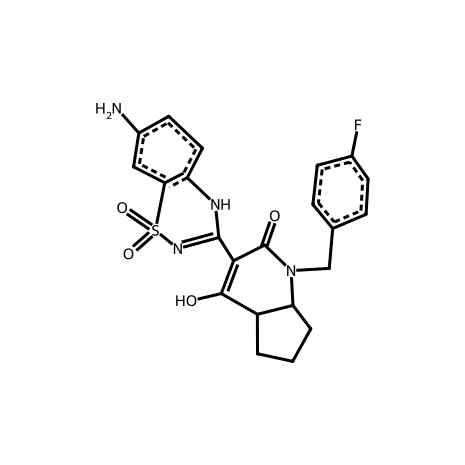 Nc1ccc2c(c1)S(=O)(=O)N=C(C1=C(O)C3CCCC3N(Cc3ccc(F)cc3)C1=O)N2